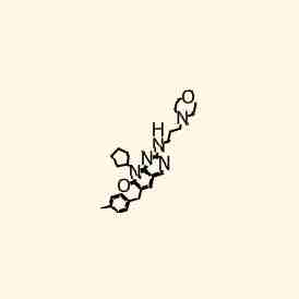 Cc1ccc(Cc2cc3cnc(NCCCN4CCOCC4)nc3n(C3CCCC3)c2=O)cc1